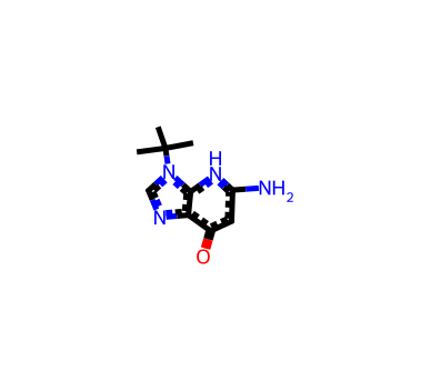 CC(C)(C)n1cnc2c(=O)cc(N)[nH]c21